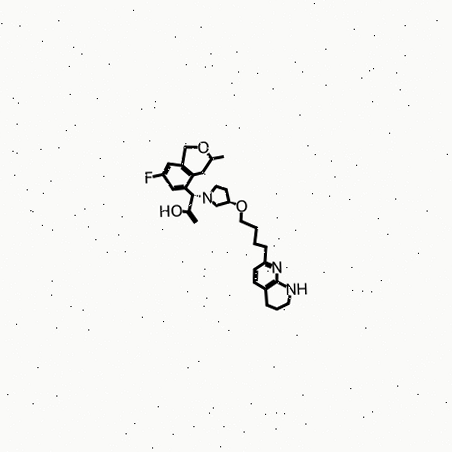 C=C(O)[C@H](c1cc(F)cc2c1CC(C)OC2)N1CC[C@@H](OCCCCc2ccc3c(n2)NCCC3)C1